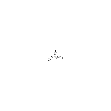 C.[AlH3].[SiH4].[Zr]